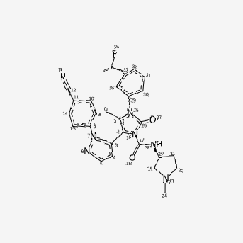 Cc1c(-c2ccnn2-c2ccc(C#N)cc2)n(C(=O)N[C@H]2CCN(C)C2)c(=O)n1-c1cccc(CF)c1